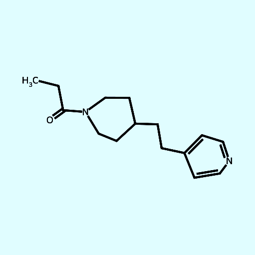 CCC(=O)N1CCC(CCc2ccncc2)CC1